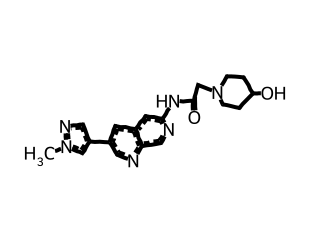 Cn1cc(-c2cnc3cnc(NC(=O)CN4CCC(O)CC4)cc3c2)cn1